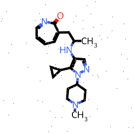 CC(Cc1ccccnc1=O)Nc1cnn(C2CCN(C)CC2)c1C1CC1